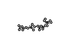 c1ccc(-c2cc(-c3ccc4cc(-n5c6ccccc6c6c5ccc5c7ccccc7n(-c7ccccc7)c56)ccc4c3)nc(-c3ccccc3-c3cccc(-c4ccc5c6ccc7c(c8ccccc8n7-c7ccc8c(-c9nc(-c%10cccc%11ccccc%10%11)cc(-c%10cccc%11ccccc%10%11)n9)cccc8c7)c6n(-c6ccccc6)c5c4)c3)c2)cc1